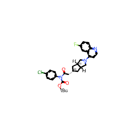 CC(C)(C)OC(=O)N(C(=O)C[C@@H]1C[C@@H]2CN(c3ccnc4ccc(F)cc34)C[C@@H]2C1)c1ccc(Cl)cc1